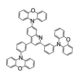 c1cc(-c2cc(-c3cccc(N4c5ccccc5Oc5ccccc54)c3)c3ccc(N4c5ccccc5Oc5ccccc54)cc3n2)cc(N2c3ccccc3Oc3ccccc32)c1